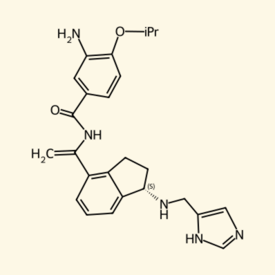 C=C(NC(=O)c1ccc(OC(C)C)c(N)c1)c1cccc2c1CC[C@@H]2NCc1cnc[nH]1